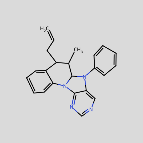 C=CCC1c2ccccc2N2c3ncncc3N(c3ccccc3)C2C1C